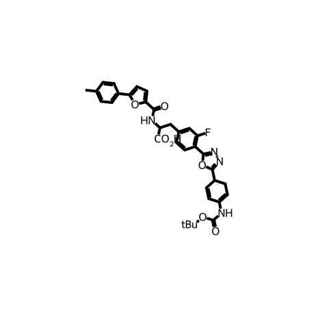 Cc1ccc(-c2ccc(C(=O)NC(Cc3ccc(-c4nnc(C5C=CC(NC(=O)OC(C)(C)C)=CC5)o4)c(F)c3)C(=O)O)o2)cc1